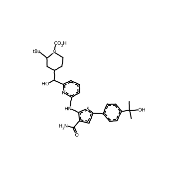 CC(C)(O)c1ccc(-c2cc(C(N)=O)c(Nc3cccc(C(O)C4CCN(C(=O)O)C(C(C)(C)C)C4)n3)s2)cc1